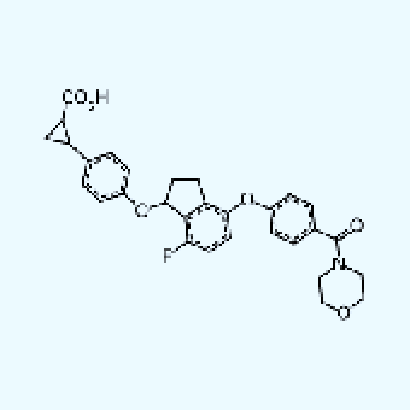 O=C(O)C1CC1c1ccc(OC2CCc3c(Oc4ccc(C(=O)N5CCOCC5)cc4)ccc(F)c32)cc1